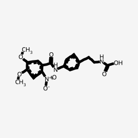 COc1cc(C(=O)Nc2ccc(CCNC(=O)O)cc2)c([N+](=O)[O-])cc1OC